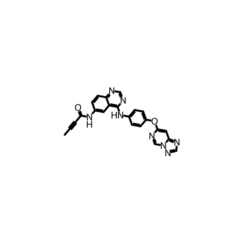 CC#CC(=O)Nc1ccc2ncnc(Nc3ccc(Oc4cc5ncnn5cn4)cc3)c2c1